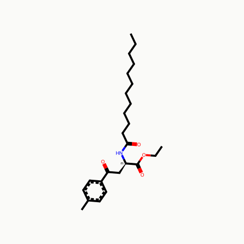 CCCCCCCCCCCC(=O)N[C@H](CC(=O)c1ccc(C)cc1)C(=O)OCC